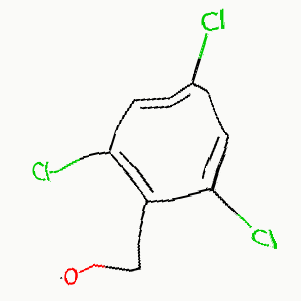 [O]Cc1c(Cl)cc(Cl)cc1Cl